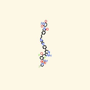 O=C1CC[C@H](N2Cc3cc(/C=C/CN4CC5(C4)CN(c4ccc(-c6cnc7[nH]cc(C(=O)c8c(F)ccc(NS(=O)(=O)N9CC[C@@H](F)C9)c8F)c7c6)cc4)C5)ccc3C2=O)C(=O)N1